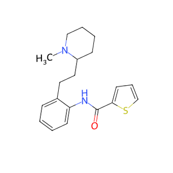 CN1CCCCC1CCc1ccccc1NC(=O)c1cccs1